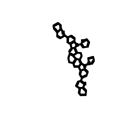 c1ccc(-n2c3ccc(-c4ccc5ccccc5n4)cc3c3cc4c5c(c32)CCc2c-5c(cc3c5cc(-c6ccc7ccccc7n6)ccc5n(-n5cccc5)c23)CC4)nc1